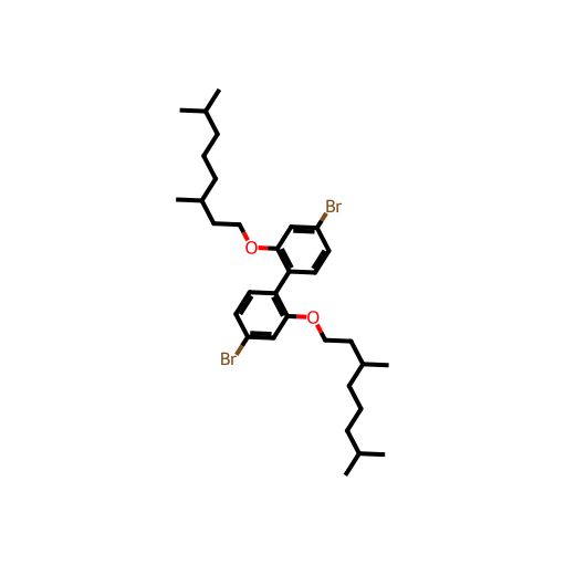 CC(C)CCCC(C)CCOc1cc(Br)ccc1-c1ccc(Br)cc1OCCC(C)CCCC(C)C